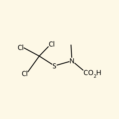 CN(SC(Cl)(Cl)Cl)C(=O)O